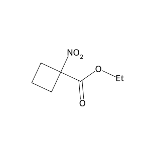 CCOC(=O)C1([N+](=O)[O-])CCC1